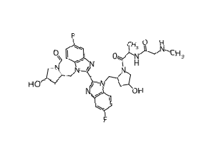 CNCC(=O)NC(C)C(=O)N1CC(O)CC1Cn1c(-c2nc3cc(F)ccc3n2CC2CC(O)CN2C=O)nc2cc(F)ccc21